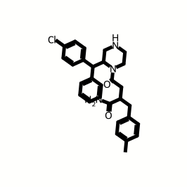 Cc1ccc(CC(CC(=O)N2CCNCC2C(c2ccccc2)c2ccc(Cl)cc2)C(N)=O)cc1